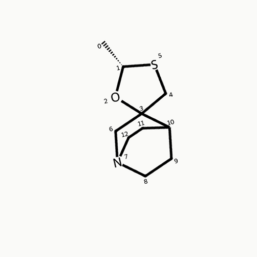 C[C@H]1OC2(CS1)CN1CCC2CC1